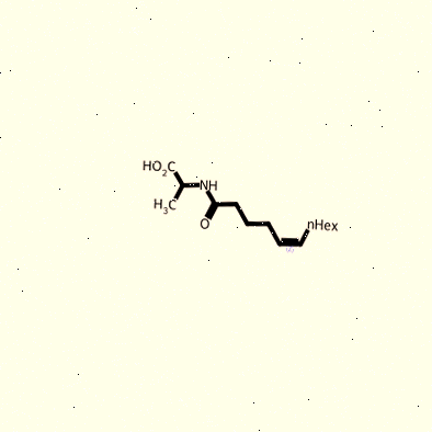 CCCCCC/C=C\CCCC(=O)NC(C)C(=O)O